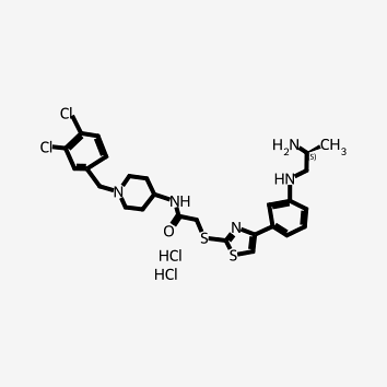 C[C@H](N)CNc1cccc(-c2csc(SCC(=O)NC3CCN(Cc4ccc(Cl)c(Cl)c4)CC3)n2)c1.Cl.Cl